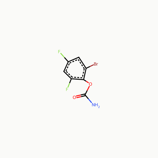 NC(=O)Oc1c(F)cc(F)cc1Br